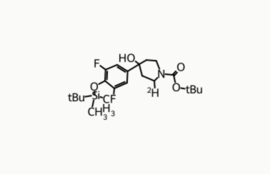 [2H]C1CC(O)(c2cc(F)c(O[Si](C)(C)C(C)(C)C)c(F)c2)CCN1C(=O)OC(C)(C)C